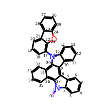 In1c2ccccc2c2c3c4ccccc4n(-c4cccc5c4oc4ccccc45)c3c3ccccc3c21